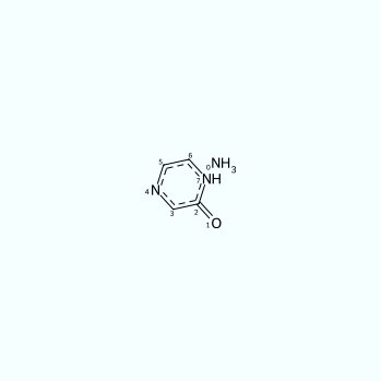 N.O=c1cncc[nH]1